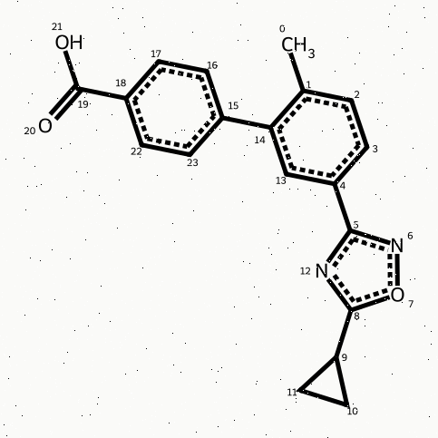 Cc1ccc(-c2noc(C3CC3)n2)cc1-c1ccc(C(=O)O)cc1